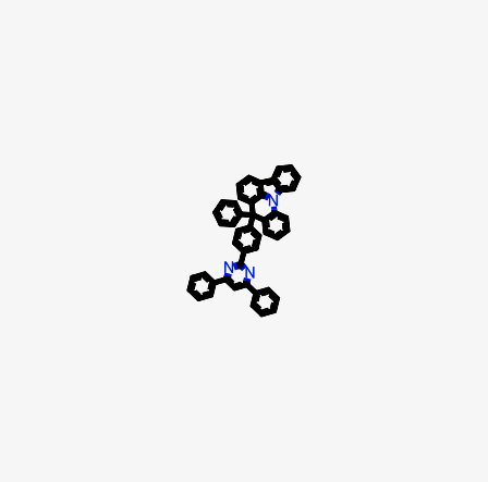 c1ccc(-c2cc(-c3ccccc3)nc(-c3ccc(C4(c5ccccc5)c5ccccc5-n5c6ccccc6c6cccc4c65)cc3)n2)cc1